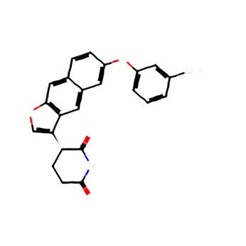 CC(=O)Nc1cccc(Oc2ccc3cc4occ([C@@H]5CCC(=O)NC5=O)c4cc3c2)c1